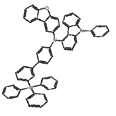 c1ccc(-n2c3ccccc3c3c(N(c4ccc(-c5cccc([Si](c6ccccc6)(c6ccccc6)c6ccccc6)c5)cc4)c4ccc5oc6ccccc6c5c4)cccc32)cc1